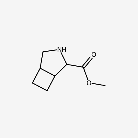 COC(=O)C1NCC2CCC21